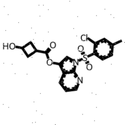 Cc1ccc(S(=O)(=O)n2cc(OC(=O)C3CC(O)C3)c3cccnc32)c(Cl)c1